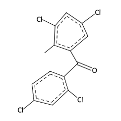 Cc1c(Cl)cc(Cl)cc1C(=O)c1ccc(Cl)cc1Cl